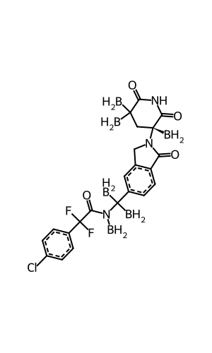 BN(C(=O)C(F)(F)c1ccc(Cl)cc1)C(B)(B)c1ccc2c(c1)CN([C@]1(B)CC(B)(B)C(=O)NC1=O)C2=O